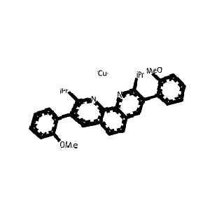 COc1ccccc1-c1cc2ccc3cc(-c4ccccc4OC)c(C(C)C)nc3c2nc1C(C)C.[Cu]